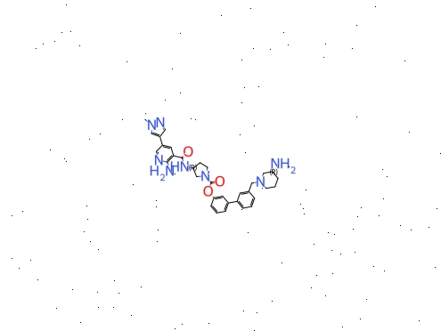 Cn1cc(-c2cnc(N)c(C(=O)N[C@@H]3CCN(C(=O)Oc4cccc(-c5cccc(CN6CCC[C@@H](N)C6)c5)c4)C3)c2)cn1